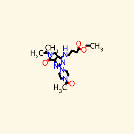 CCOC(=O)CCCNc1nc(N2CCN(C(C)=O)CC2)nc2c1CN(C(C)C)C2=O